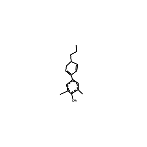 CCCC1C=CC(c2cc(C)c(O)c(C)c2)=CC1